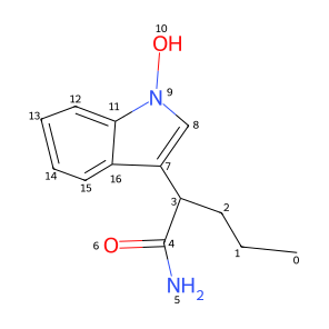 CCCC(C(N)=O)c1cn(O)c2ccccc12